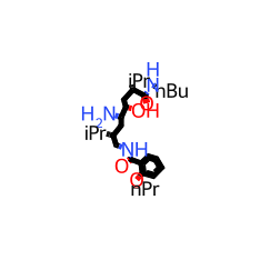 CCCCNC(=O)C(CC(O)C(N)CC(CNC(=O)c1ccccc1OCCC)C(C)C)C(C)C